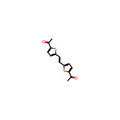 CC(=O)c1ccc(C=Cc2ccc(C(C)=O)s2)s1